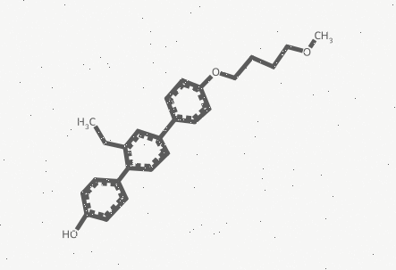 CCc1cc(-c2ccc(OCCCCOC)cc2)ccc1-c1ccc(O)cc1